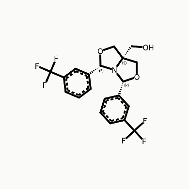 OC[C@]12CO[C@H](c3cccc(C(F)(F)F)c3)N1[C@H](c1cccc(C(F)(F)F)c1)OC2